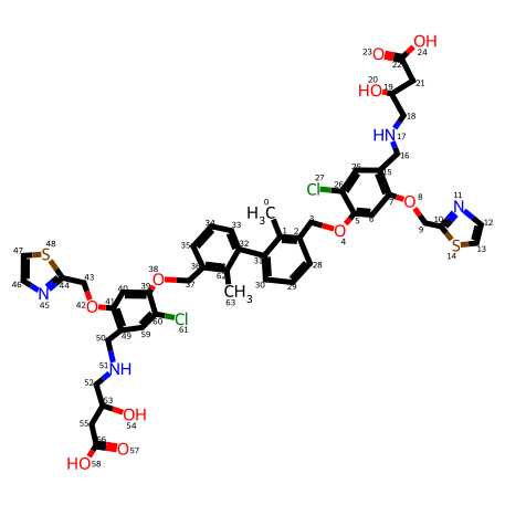 Cc1c(COc2cc(OCc3nccs3)c(CNCC(O)CC(=O)O)cc2Cl)cccc1-c1cccc(COc2cc(OCc3nccs3)c(CNCC(O)CC(=O)O)cc2Cl)c1C